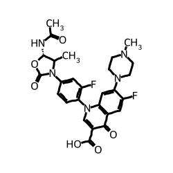 CC(=O)N[C@H]1OC(=O)N(c2ccc(-n3cc(C(=O)O)c(=O)c4cc(F)c(N5CCN(C)CC5)cc43)c(F)c2)C1C